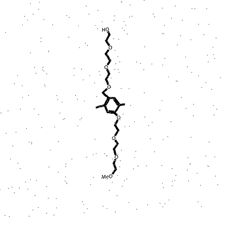 COCCOCCOCCOc1cc(C)c(COCCOCCOCCO)cc1C